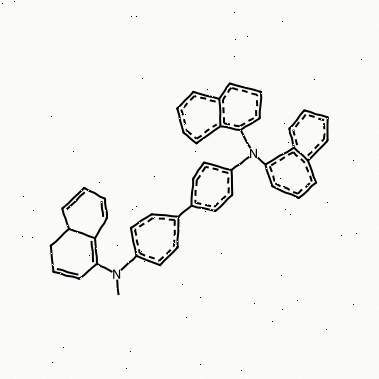 CN(C1=C2C=CC=CC2CC=C1)c1ccc(-c2ccc(N(c3cccc4ccccc34)c3cccc4ccccc34)cc2)cc1